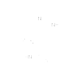 O=C1NC[N+]2([O-])Cc3nc[nH]c3C=C12